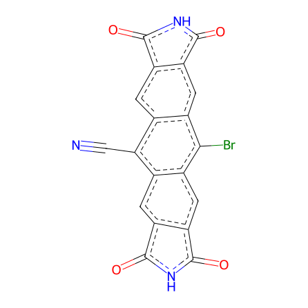 N#Cc1c2cc3c(=O)[nH]c(=O)c3cc2c(Br)c2cc3c(=O)[nH]c(=O)c3cc12